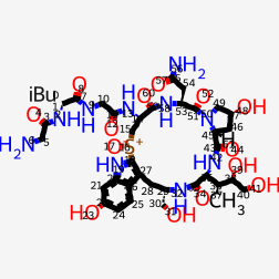 CC[C@H](C)[C@@H](NC(=O)CN)C(=O)NCC(=O)N[C@H]1C[S+]([O-])c2[nH]c3cc(O)ccc3c2C[C@@H](CO)NC(=O)[C@H]([C@@H](C)[C@@H](O)CO)NC(=O)[C@H]2C[C@@H](O)CN2C(=O)[C@H](CC(N)=O)NC1=O